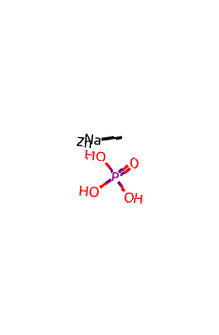 O=P(O)(O)O.[CH3][Na].[Zn]